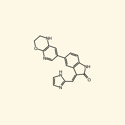 O=C1Nc2ccc(-c3cnc4c(c3)NCCO4)cc2C1=Cc1ncc[nH]1